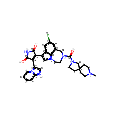 CN1CCC2(CC1)CCN(C(=O)N1CCn3cc(C4=C(c5cnc6ccccn56)C(=O)NC4=O)c4cc(F)cc(c43)C1)C2